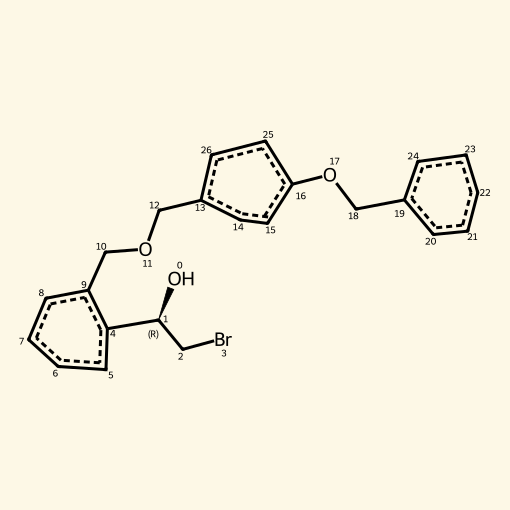 O[C@@H](CBr)c1ccccc1COCc1ccc(OCc2ccccc2)cc1